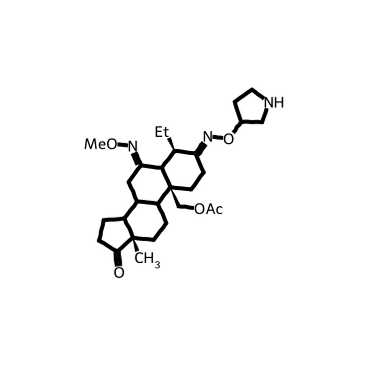 CC[C@H]1C(=NOC2CCNC2)CC[C@]2(COC(C)=O)C3CC[C@]4(C)C(=O)CCC4C3CC(=NOC)C12